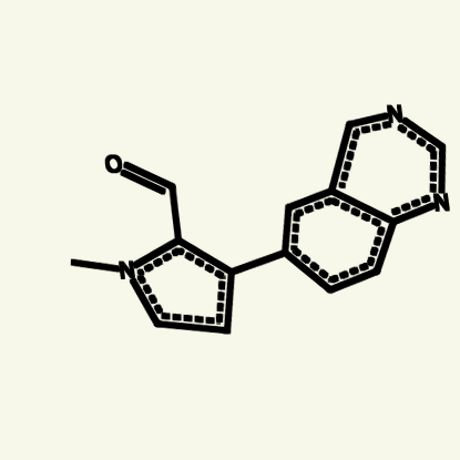 Cn1ccc(-c2ccc3ncncc3c2)c1C=O